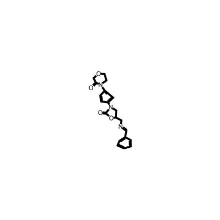 O=C1COCCN1c1ccc(N2CC(CN=Cc3ccccc3)OC2=O)cc1